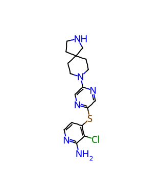 Nc1nccc(Sc2cnc(N3CCC4(CCNC4)CC3)cn2)c1Cl